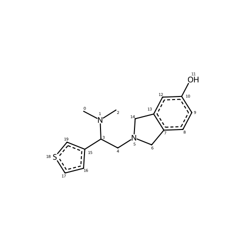 CN(C)C(CN1Cc2ccc(O)cc2C1)c1ccsc1